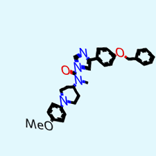 COc1ccc(N2CCC(N(C)C(=O)n3cnc(-c4ccc(OCc5ccccc5)cc4)c3)CC2)cc1